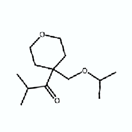 CC(C)OCC1(C(=O)C(C)C)CCOCC1